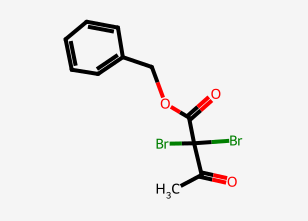 CC(=O)C(Br)(Br)C(=O)OCc1ccccc1